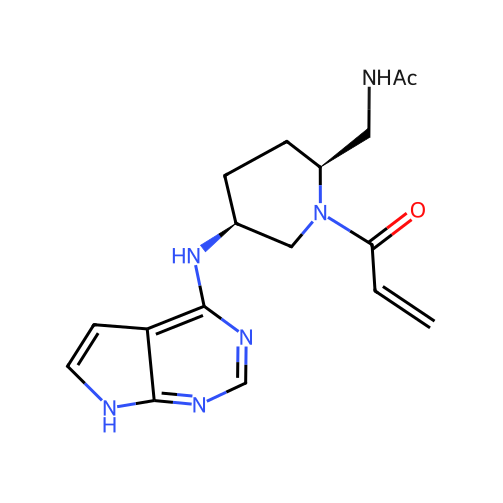 C=CC(=O)N1C[C@@H](Nc2ncnc3[nH]ccc23)CC[C@H]1CNC(C)=O